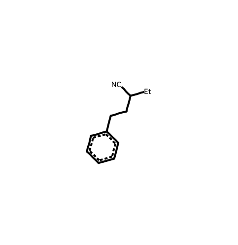 [CH2]CC(C#N)CCc1ccccc1